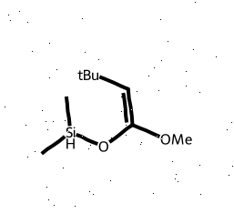 COC(=CC(C)(C)C)O[SiH](C)C